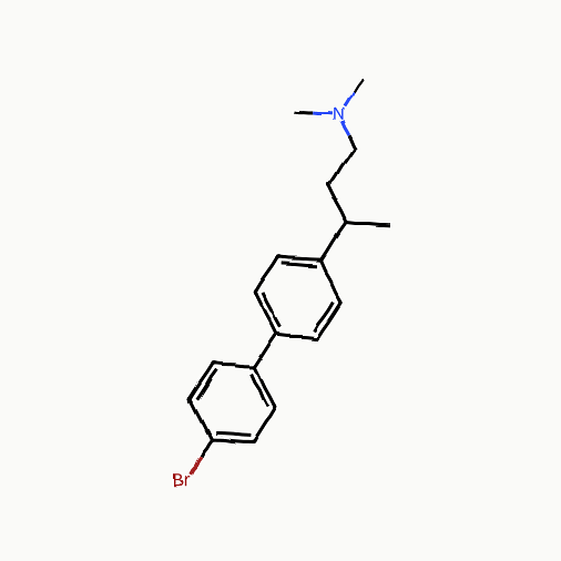 CC(CCN(C)C)c1ccc(-c2ccc(Br)cc2)cc1